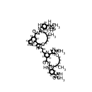 C[C@@H]1CCCOc2c(cnn2C)-c2cc(cc(CCn3ncc4c3OCCC[C@@H](C)CN3/C(=N/C(=O)c5cc-4n4nccc4c5)Nc4ccc(N[SH](C)(C)=O)cc43)n2)C(=O)/N=C2\Nc3ccc(S(C)(=N)=O)cc3N2C1